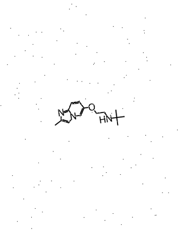 Cc1cn2cc(OCCNC(C)(C)C)ccc2n1